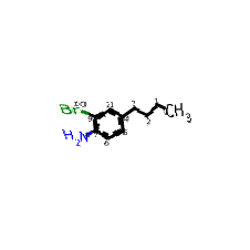 CCCCc1ccc(N)c(Br)c1